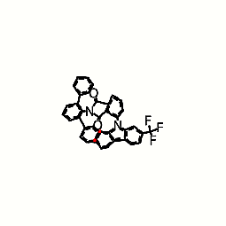 O=C1c2cccc(-n3c4ccccc4c4ccc(C(F)(F)F)cc43)c2C(=O)N1c1c(-c2ccccc2)cccc1-c1ccccc1